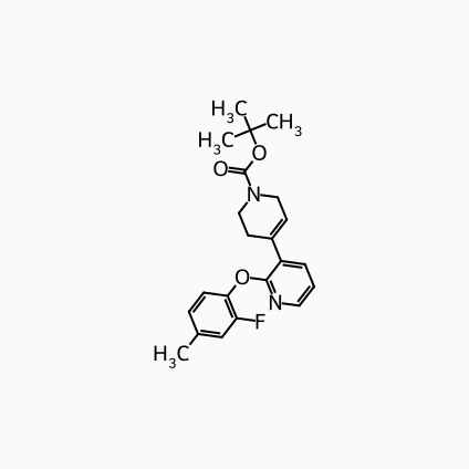 Cc1ccc(Oc2ncccc2C2=CCN(C(=O)OC(C)(C)C)CC2)c(F)c1